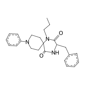 CCCN1C(=O)C(Cc2ccccc2)NC(=O)C12CCN(c1ccccc1)CC2